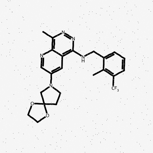 Cc1c(CNc2nnc(C)c3ncc(N4CCC5(C4)OCCO5)cc23)cccc1C(F)(F)F